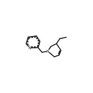 CCC1C=CCN(Cc2ccccn2)C1